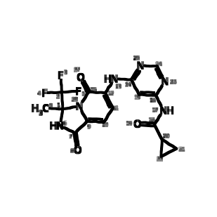 CC1(C(F)(F)F)NC(=O)c2ccc(Nc3cc(NC(=O)C4CC4)ncn3)c(=O)n21